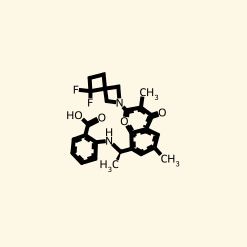 Cc1cc([C@@H](C)Nc2ccccc2C(=O)O)c2oc(N3CC4(CCC4(F)F)C3)c(C)c(=O)c2c1